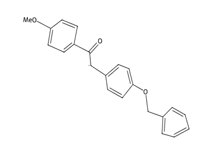 COc1ccc(C(=O)[CH]c2ccc(OCc3ccccc3)cc2)cc1